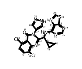 O=c1c2c(Cl)ccc(Cl)c2nc(C(Nc2ncnc3scnc23)C2CC2)n1-c1cn[nH]c1